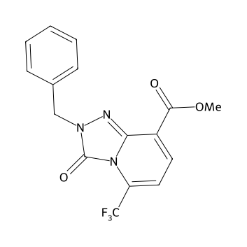 COC(=O)c1ccc(C(F)(F)F)n2c(=O)n(Cc3ccccc3)nc12